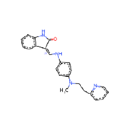 CN(CCc1ccccn1)c1ccc(N/C=C2\C(=O)Nc3ccccc32)cc1